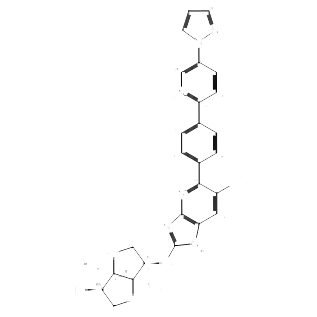 O[C@@H]1CO[C@H]2[C@@H]1OC[C@H]2Oc1nc2nc(-c3ccc(-c4ccc(-n5cccn5)cn4)cc3)c(Cl)cc2[nH]1